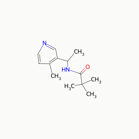 Cc1ccncc1C(C)NC(=O)C(C)(C)C